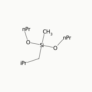 CCCO[Si](C)(CC(C)C)OCCC